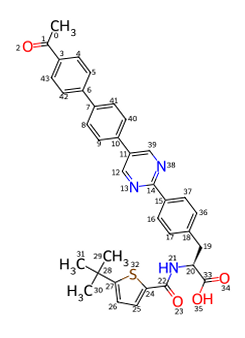 CC(=O)c1ccc(-c2ccc(-c3cnc(-c4ccc(C[C@H](NC(=O)c5ccc(C(C)(C)C)s5)C(=O)O)cc4)nc3)cc2)cc1